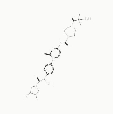 CC1CN(C(=O)C(N)c2ccc(-n3ccc(NC(=O)N4CCN(C(=O)C(C)(C)N)CC4)nc3=O)cc2)CC1N